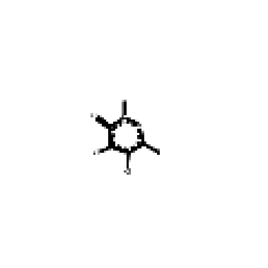 Cn1nc(I)c(Cl)c(Cl)c1=O